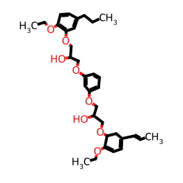 C/C=C/C1=CC=C(OCC)C(OCC(O)COc2cccc(OCC(O)COc3cc(CCC)ccc3OCC)c2)C1